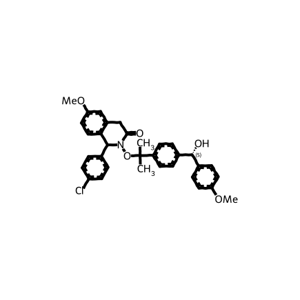 COc1ccc([C@@H](O)c2ccc(C(C)(C)ON3C(=O)Cc4cc(OC)ccc4C3c3ccc(Cl)cc3)cc2)cc1